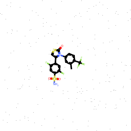 Cc1cc(-n2c(-c3cc(F)c(S(N)(=O)=O)cc3F)csc2=O)ccc1C(F)(F)F